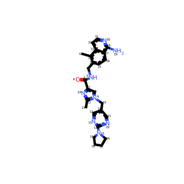 Cc1c(CNC(=O)c2cn(Cc3cnc(N4CCCC4)nc3)c(C)n2)ccc2c(N)nccc12